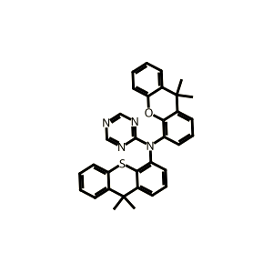 CC1(C)c2ccccc2Oc2c(N(c3ncncn3)c3cccc4c3Sc3ccccc3C4(C)C)cccc21